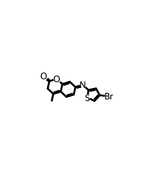 CC1=C2C=CC(=Nc3cc(Br)cs3)C=C2OC(=O)C1